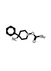 CC(C)(C)C(=O)ON1CCC(C#N)(c2ccccc2)CC1